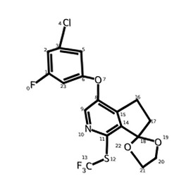 Fc1cc(Cl)cc(Oc2cnc(SC(F)(F)F)c3c2CCC32OCCO2)c1